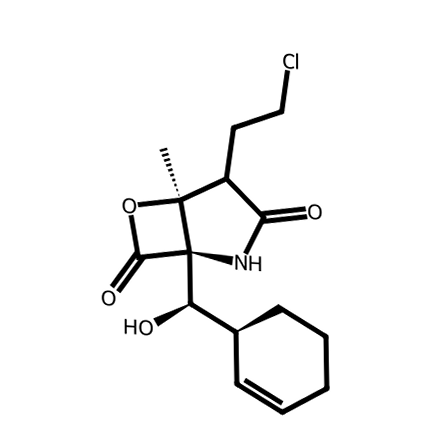 C[C@@]12OC(=O)[C@]1([C@H](O)[C@@H]1C=CCCC1)NC(=O)C2CCCl